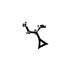 CCO[C@@H](C1CC1)C(C)(C)C